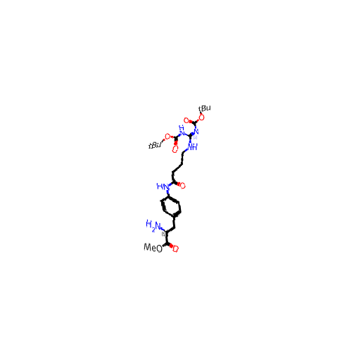 COC(=O)[C@@H](N)Cc1ccc(NC(=O)CCCN/C(=N/C(=O)OC(C)(C)C)NC(=O)OC(C)(C)C)cc1